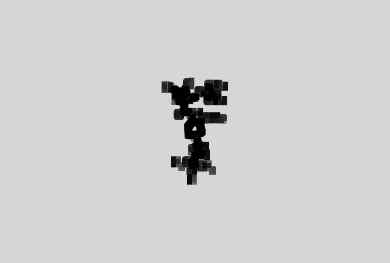 CCc1nc(C(=O)N[C@@H]2CCN(c3nnc(C(C)(C)O)s3)C[C@@H]2OC)n(COP(=O)(OCC(C)C)OCC(C)C)c1Cl